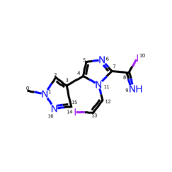 Cn1cc(-c2cnc(C(=N)I)n2/C=C\I)cn1